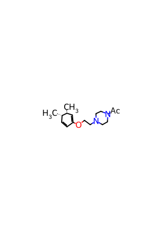 CC(=O)N1CCN(CCOC2=C[C@@H](C)[C@@H](C)C=C2)CC1